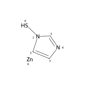 Sn1ccnc1.[Zn]